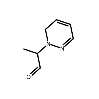 CC(C=O)N1CC=C[C]=N1